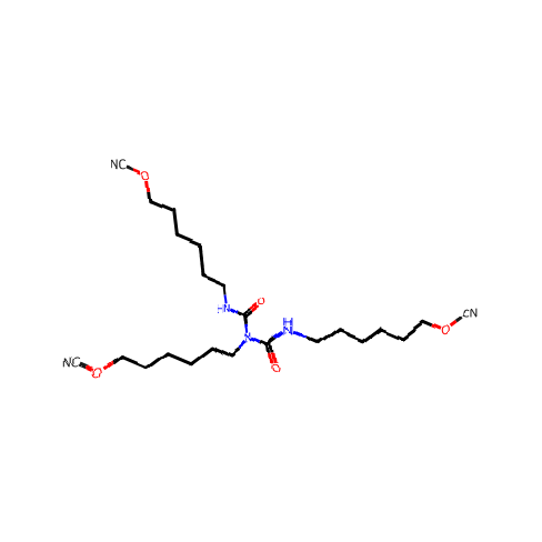 N#COCCCCCCNC(=O)N(CCCCCCOC#N)C(=O)NCCCCCCOC#N